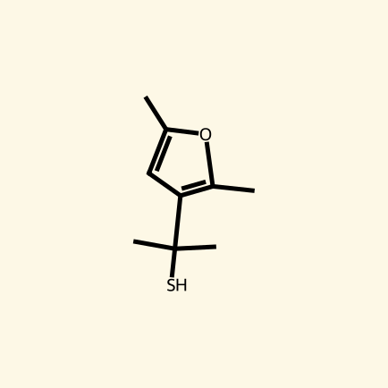 Cc1cc(C(C)(C)S)c(C)o1